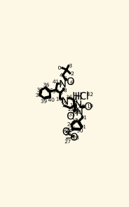 CC(C)(C)CC(=O)N1CC(CN2CCC3(CC2)NC(=O)N(Cc2ccc(S(C)(=O)=O)cc2)C3=O)C(c2ccccc2)C1.Cl